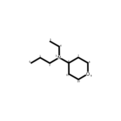 CCCN(CC)C1CCOCC1